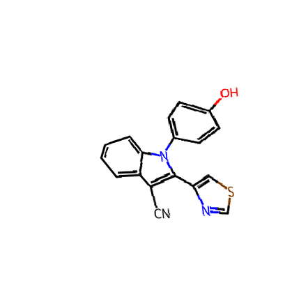 N#Cc1c(-c2cscn2)n(-c2ccc(O)cc2)c2ccccc12